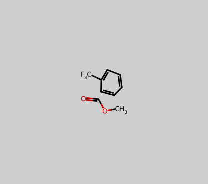 COC=O.FC(F)(F)c1ccccc1